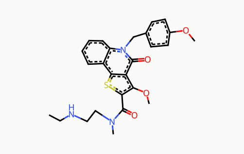 CCNCCN(C)C(=O)c1sc2c(c1OC)c(=O)n(Cc1ccc(OC)cc1)c1ccccc21